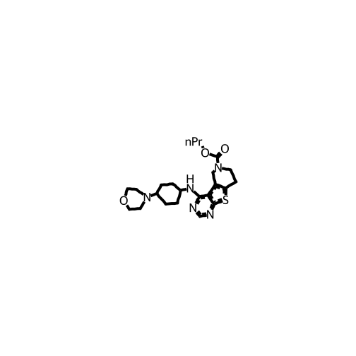 CCCOC(=O)N1CCc2sc3ncnc(NC4CCC(N5CCOCC5)CC4)c3c2C1